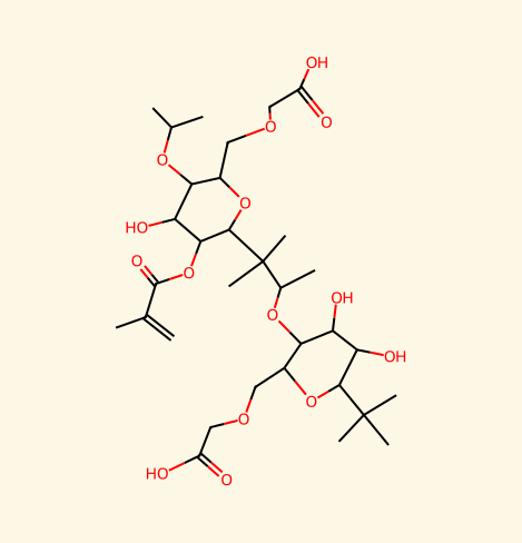 C=C(C)C(=O)OC1C(O)C(OC(C)C)C(COCC(=O)O)OC1C(C)(C)C(C)OC1C(COCC(=O)O)OC(C(C)(C)C)C(O)C1O